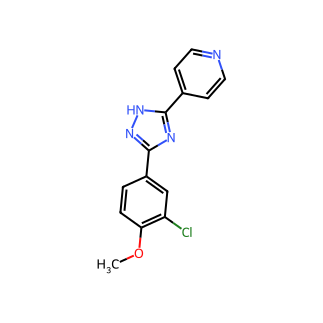 COc1ccc(-c2n[nH]c(-c3ccncc3)n2)cc1Cl